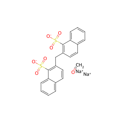 C=O.O=S(=O)([O-])c1c(Cc2ccc3ccccc3c2S(=O)(=O)[O-])ccc2ccccc12.[Na+].[Na+]